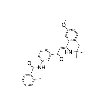 COc1ccc2c(c1)/C(=C/C(=O)c1cccc(NC(=O)c3ccccc3C)c1)NC(C)(C)C2